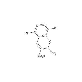 O=C(O)C1=Cc2c(Cl)ccc(Cl)c2O[C@@H]1C(F)(F)F